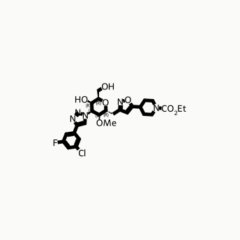 CCOC(=O)N1CCC(c2cc(C[C@H]3O[C@H](CO)[C@H](O)[C@H](n4cc(-c5cc(F)cc(Cl)c5)nn4)[C@H]3OC)no2)CC1